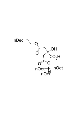 CCCCCCCCCCCCOC(=O)CC(O)(CC(=O)O[PH](CCCCCCCC)(CCCCCCCC)CCCCCCCC)C(=O)O